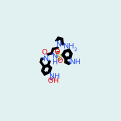 Nc1cccn1CCC(NS(=O)(=O)c1cccc2[nH]ccc12)C(=O)N1CCc2ccc(NO)cc2C1